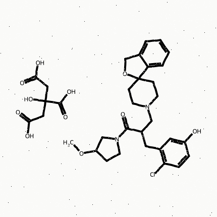 COC1CCN(C(=O)C(Cc2cc(O)ccc2Cl)CN2CCC3(CC2)OCc2ccccc23)C1.O=C(O)CC(O)(CC(=O)O)C(=O)O